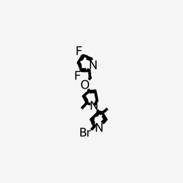 CC1=CC(OCc2ncc(F)cc2F)=CCN1c1cc(Br)ncc1C